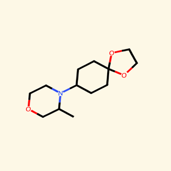 CC1COCCN1C1CCC2(CC1)OCCO2